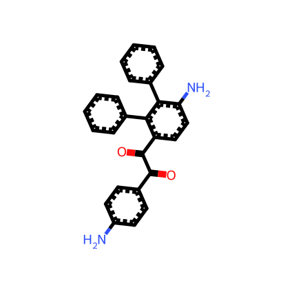 Nc1ccc(C(=O)C(=O)c2ccc(N)c(-c3ccccc3)c2-c2ccccc2)cc1